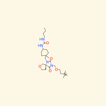 CCCCNC(=O)NC1CCC(C)(CN2C(=O)N(COCC[Si](C)(C)C)C(=O)[C@@]23CCOC3)CC1